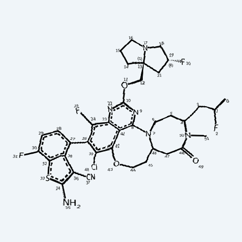 CC(F)CC1CCN2c3nc(OC[C@@]45CCCN4C[C@H](F)C5)nc4c(F)c(-c5ccc(F)c6sc(N)c(C#N)c56)c(Cl)c(c34)OCCC2CC(=O)N1C